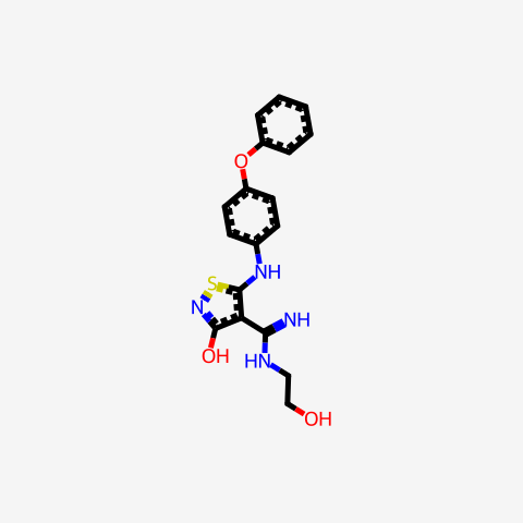 N=C(NCCO)c1c(O)nsc1Nc1ccc(Oc2ccccc2)cc1